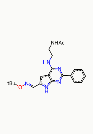 CC(=O)NCCNc1nc(-c2ccccc2)nc2[nH]c(C=NOC(C)(C)C)cc12